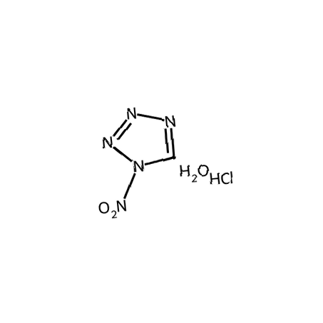 Cl.O.O=[N+]([O-])n1cnnn1